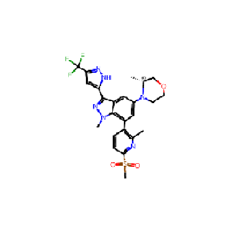 Cc1nc(S(C)(=O)=O)ccc1-c1cc(N2CCOC[C@H]2C)cc2c(-c3cc(C(F)(F)F)n[nH]3)nn(C)c12